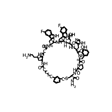 C[C@@]12CCCN1C(=O)[C@H](Cc1cccc(O)c1)NC(=O)[C@H](Cc1cnc[nH]1)NC(=O)[C@H](CC(=O)O)NC(=O)[C@H](Cc1c[nH]c3ccc(F)cc13)NC(=O)[C@H](Cc1c[nH]c3ccc(F)cc13)NC(=O)CNC(=O)[C@H](CCCCN)NC(=O)CCSCc1cccc(c1)CSC[C@@H](C(N)=O)NC2=O